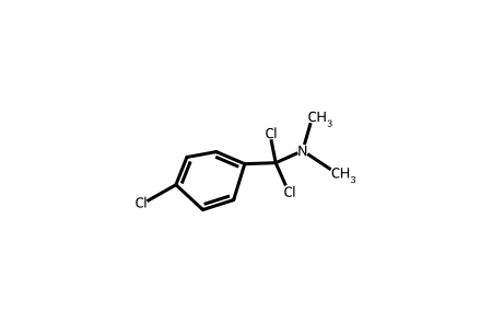 CN(C)C(Cl)(Cl)c1ccc(Cl)cc1